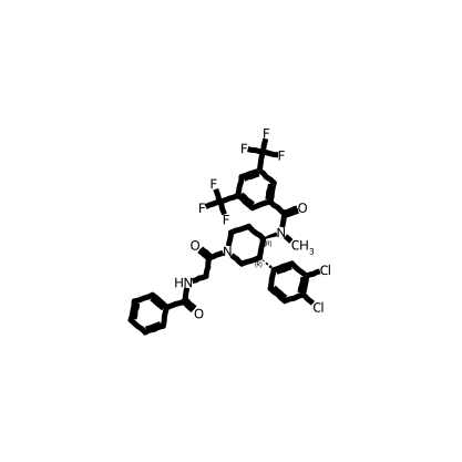 CN(C(=O)c1cc(C(F)(F)F)cc(C(F)(F)F)c1)[C@@H]1CCN(C(=O)CNC(=O)c2ccccc2)C[C@H]1c1ccc(Cl)c(Cl)c1